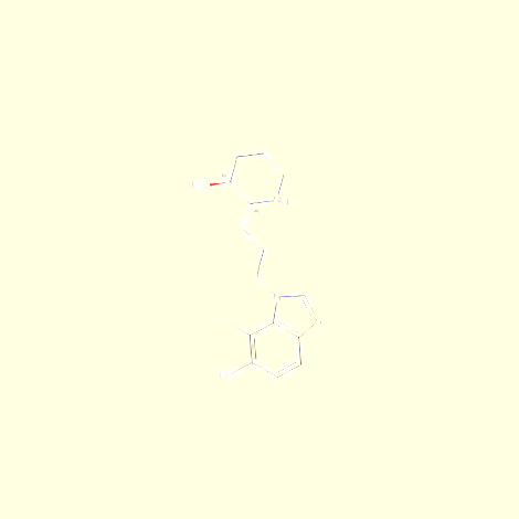 O[C@H]1CCCN[C@@H]1CCCn1cnc2ccc(Br)c(F)c21